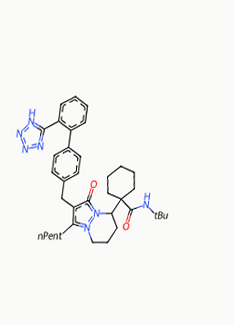 CCCCCc1c(Cc2ccc(-c3ccccc3-c3nnn[nH]3)cc2)c(=O)n2n1CCCC2C1(C(=O)NC(C)(C)C)CCCCC1